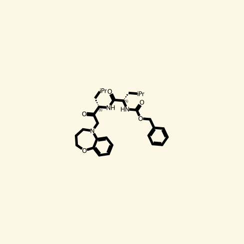 CC(C)C[C@H](NC(=O)[C@H](CC(C)C)NC(=O)OCc1ccccc1)C(=O)CN1CCCOc2ccccc21